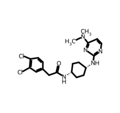 CN(C)c1ccnc(N[C@H]2CC[C@@H](NC(=O)Cc3ccc(Cl)c(Cl)c3)CC2)n1